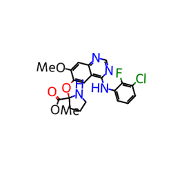 COC(=O)[C@@]1(Oc2cc3c(Nc4cccc(Cl)c4F)ncnc3cc2OC)CCCN1